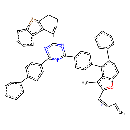 C=C/C=C\c1oc2ccc(-c3ccccc3)c(-c3ccc(-c4nc(C5=CCCc6sc7ccccc7c65)nc(-c5ccc(-c6ccccc6)cc5)n4)cc3)c2c1C